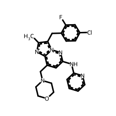 Cc1nc2c(CN3CCOCC3)cc(Nc3ccccn3)nn2c1Cc1ccc(Cl)cc1F